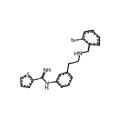 N=C(Nc1cccc(CCNCc2ccccc2Br)c1)c1cccs1